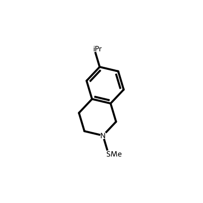 CSN1CCc2cc(C(C)C)ccc2C1